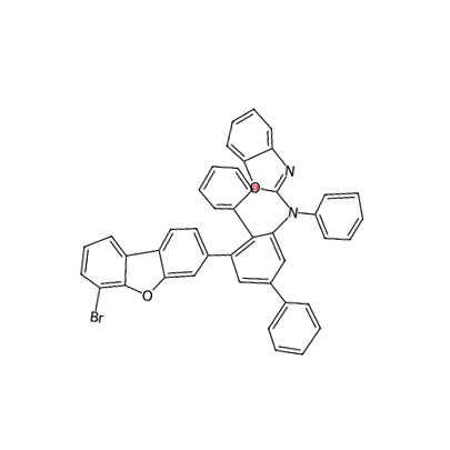 Brc1cccc2c1oc1cc(-c3cc(-c4ccccc4)cc(N(c4ccccc4)c4nc5ccccc5o4)c3-c3ccccc3)ccc12